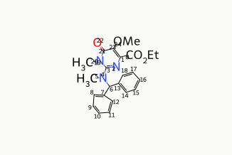 CCOC(=O)c1nc(N(C)C(c2ccccc2)c2ccccc2)n(C)c(=O)c1OC